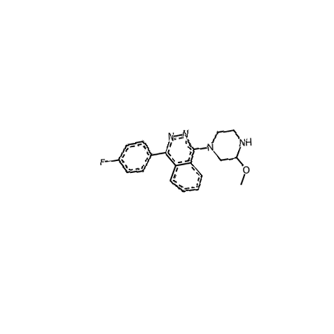 COC1CN(c2nnc(-c3ccc(F)cc3)c3ccccc23)CCN1